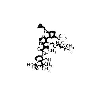 COc1ccc(OCC2CC2)c(-c2ncnc3c(C(=O)N[C@@H]4CCN(C(=O)O)C(C(C)(C)C)[C@@H]4O)c(C)n(COCC[Si](C)(C)C)c23)c1